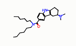 CCCCCCN(CCCCCC)C(=O)c1ccc2[nH]c3c(c2c1)CC(N(C)C)CC3